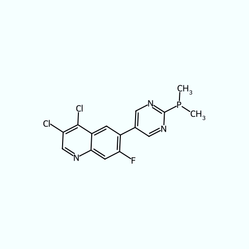 CP(C)c1ncc(-c2cc3c(Cl)c(Cl)cnc3cc2F)cn1